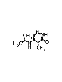 C=C(C)Nc1cn[nH]c(=O)c1C(F)(F)F